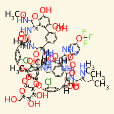 CN[C@H](CC(C)C)C(=O)N[C@H]1C(=O)N[C@@H](CC(N)=O)C(=O)N[C@H]2C(=O)N[C@H]3C(=O)N[C@H](C(=O)N[C@@H](C(=O)NOC)c4cc(O)cc(O)c4-c4cc3ccc4O)[C@H](O)c3ccc(c(Cl)c3)Oc3cc2cc(c3O[C@@H]2O[C@H](CO)[C@@H](O)[C@H](O)[C@H]2O[C@H]2C[C@](C)(NCc3cccc(NC(=O)c4ccc(OC(F)(F)F)cc4)c3)[C@H](O)[C@H](C)O2)Oc2ccc(cc2Cl)[C@H]1O